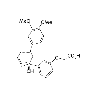 COc1ccc(C2=CC=C[C@@](O)(c3cccc(OCC(=O)O)c3)C2)cc1OC